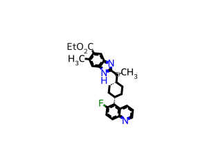 CCOC(=O)c1cc2nc([C@H](C)[C@H]3CC[C@@H](c4c(F)ccc5ncccc54)CC3)[nH]c2cc1C